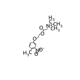 Cc1ccc(OCCOC(=O)C[N]C(C)(C)C)cc1[N+](=O)[O-]